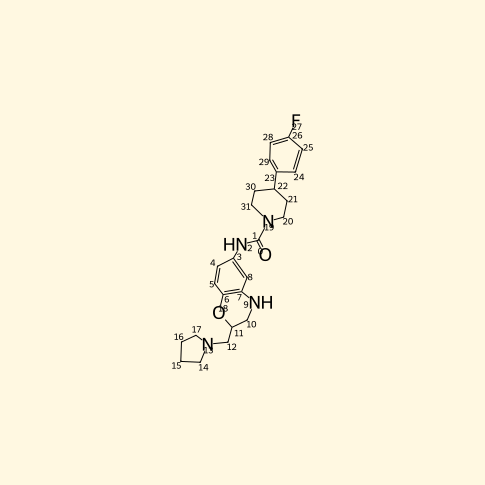 O=C(Nc1ccc2c(c1)NCC(CN1CCCC1)O2)N1CCC(c2ccc(F)cc2)CC1